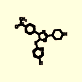 C[S+]([O-])c1ccc(C2N=C(C3CCNCC3)OC2Sc2ccc(Cl)cn2)cc1